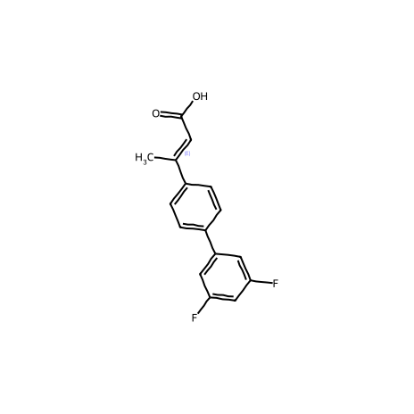 C/C(=C\C(=O)O)c1ccc(-c2cc(F)cc(F)c2)cc1